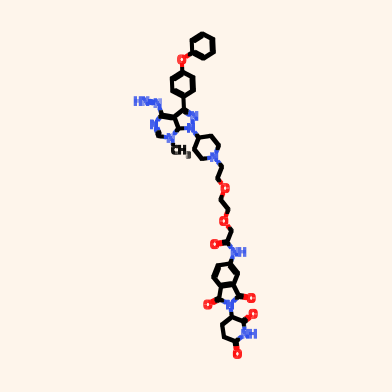 CN1C=NC(N=N)=C2C(c3ccc(Oc4ccccc4)cc3)=NN(C3CCN(CCOCCOCC(=O)Nc4ccc5c(c4)C(=O)N(C4CCC(=O)NC4=O)C5=O)CC3)C21